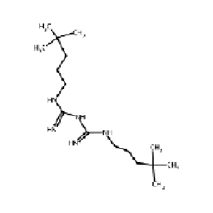 CC(C)(C)CCCNC(=N)NC(=N)NCCCC(C)(C)C